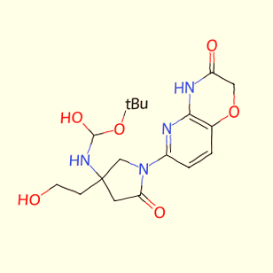 CC(C)(C)OC(O)NC1(CCO)CC(=O)N(c2ccc3c(n2)NC(=O)CO3)C1